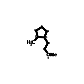 COCCC1CCCC1C